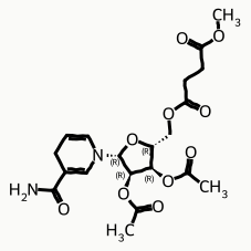 COC(=O)CCC(=O)OC[C@H]1O[C@@H](N2C=CCC(C(N)=O)=C2)[C@H](OC(C)=O)[C@@H]1OC(C)=O